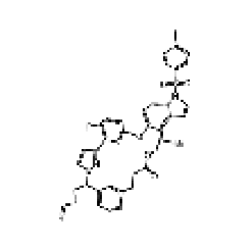 C=CCCC(c1cccc(CCC(=O)OCC)c1)n1ccc(-c2cc(Oc3c(F)cc4c(ccn4S(=O)(=O)c4ccc(C)cc4)c3CBr)ccc2F)n1